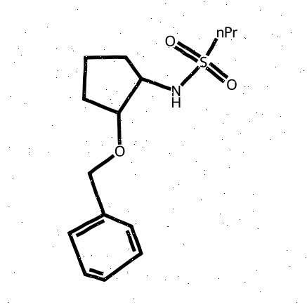 CCCS(=O)(=O)NC1CCCC1OCc1ccccc1